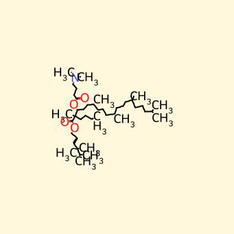 CCCCC(C)(C(=O)OC/C=C/C(C)(C)C(C)C)C(CCC(C)CCCC(C)CCCC(C)CCCC(C)C)OC(=O)CCCN(C)C